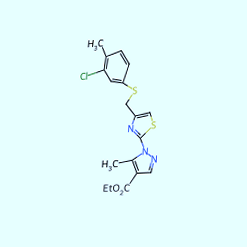 CCOC(=O)c1cnn(-c2nc(CSc3ccc(C)c(Cl)c3)cs2)c1C